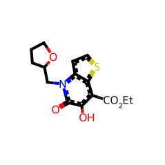 CCOC(=O)c1c(O)c(=O)n(CC2CCCO2)c2ccsc12